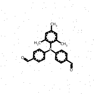 Cc1cc(C)c(N(c2ccc(C=O)cc2)c2ccc(C=O)cc2)c(C)c1